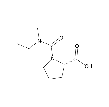 CCN(C)C(=O)N1CCC[C@H]1C(=O)O